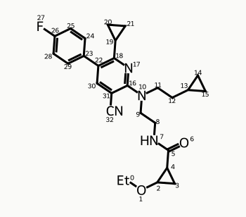 CCOC1CC1C(=O)NCCN(CCC1CC1)c1nc(C2CC2)c(-c2ccc(F)cc2)cc1C#N